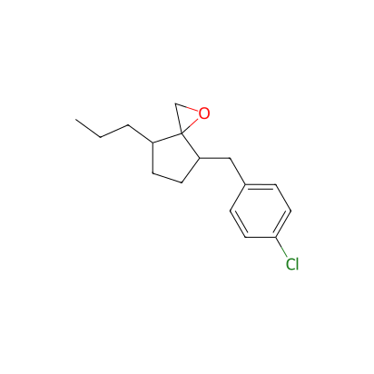 CCCC1CCC(Cc2ccc(Cl)cc2)C12CO2